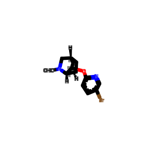 O=CN1C[C@@H]2CC[C@H]1[C@H](Oc1ccc(Br)cn1)C2